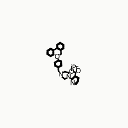 CC(C)OC(=O)c1cccnc1N1CCN(Cc2ccc(OCc3ccccc3-c3ccccc3)cc2)CC1